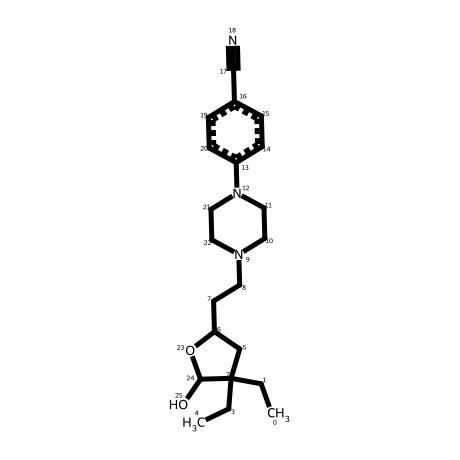 CCC1(CC)CC(CCN2CCN(c3ccc(C#N)cc3)CC2)OC1O